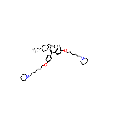 CC1CC2CC(C)C(=C(c3ccc(OCCCCCCN4CCCCC4)cc3)c3ccc(OCCCCCCN4CCCCC4)cc3)C(C1)C2